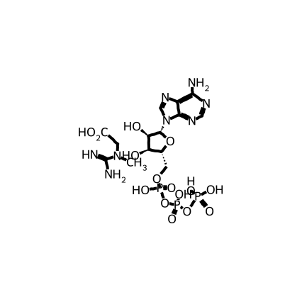 CN(CC(=O)O)C(=N)N.Nc1ncnc2c1ncn2[C@@H]1O[C@H](COP(=O)(O)OP(=O)(O)OP(=O)(O)O)[C@@H](O)[C@H]1O